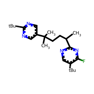 CC(CCC(C)(C)c1cnc(C(C)(C)C)nc1)c1ncc(C(C)(C)C)c(F)n1